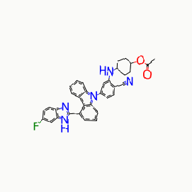 CC(=O)OC1CCC(Nc2cc(-n3c4ccccc4c4c(-c5nc6ccc(F)cc6[nH]5)cccc43)ccc2C#N)CC1